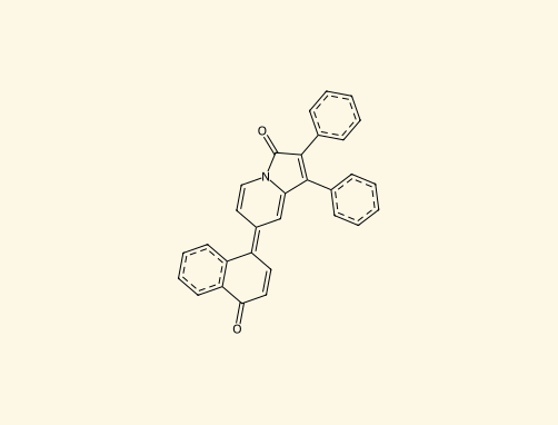 O=C1C=CC(=C2C=CN3C(=O)C(c4ccccc4)=C(c4ccccc4)C3=C2)c2ccccc21